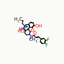 C=CCN1CC[C@]23c4c5ccc(O)c4OC2C(N(C)C(=O)/C=C/c2ccc(F)c(F)c2)CC[C@@]3(O)[C@H]1C5